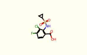 O=C(O)c1ccc(F)c(Cl)c1NS(=O)(=O)C1CC1